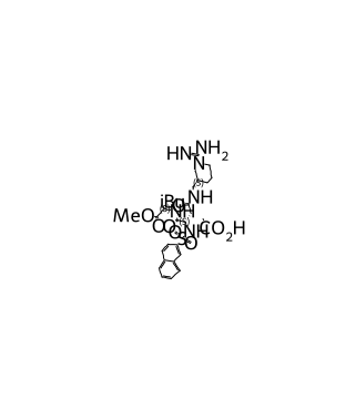 CC(=O)O.CCC(C)[C@H](NC(=O)[C@H](CC(=O)NC[C@@H]1CCCN(C(=N)N)C1)NS(=O)(=O)c1ccc2ccccc2c1)C(=O)OC